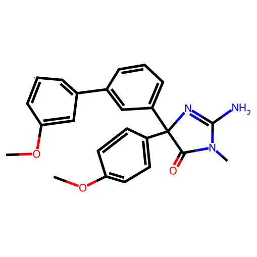 COc1ccc(C2(c3cccc(-c4c[c]cc(OC)c4)c3)N=C(N)N(C)C2=O)cc1